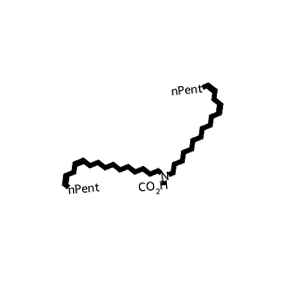 CCCCC/C=C\C/C=C\CCCCCCCCCCN(CCCCCCCCCC/C=C\C/C=C\CCCCC)C(=O)O